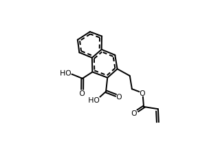 C=CC(=O)OCCc1cc2ccccc2c(C(=O)O)c1C(=O)O